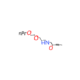 CC#CC(=O)CNCCCOCCOCCC